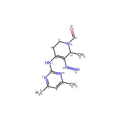 Cc1cc(C)nc(NC2=C(N=N)C(C)N(C=O)CC2)n1